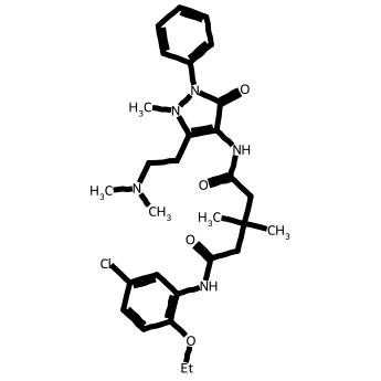 CCOc1ccc(Cl)cc1NC(=O)CC(C)(C)CC(=O)Nc1c(CCN(C)C)n(C)n(-c2ccccc2)c1=O